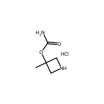 CC1(OC(N)=O)CNC1.Cl